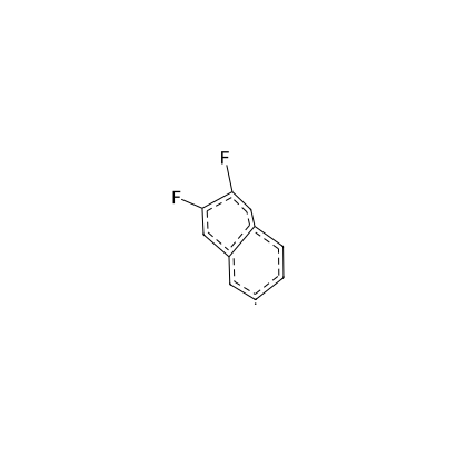 Fc1cc2c[c]ccc2cc1F